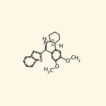 COc1cc2c(cc1OC)[C@@H]1CCCC[C@@H]1N=C2c1cc2ccccc2s1